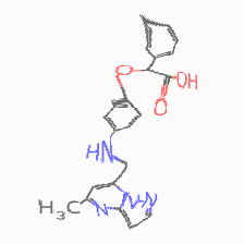 Cc1cc(CNc2ccc(OC(C(=O)O)c3ccccc3)cc2)n2nccc2n1